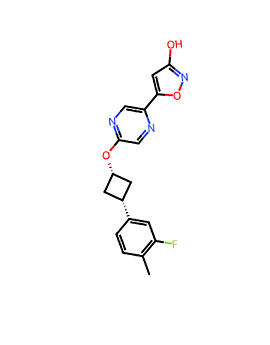 Cc1ccc([C@H]2C[C@@H](Oc3cnc(-c4cc(O)no4)cn3)C2)cc1F